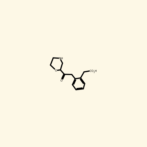 O=C(O)Cc1ccccc1CC(=O)C1CNCCO1